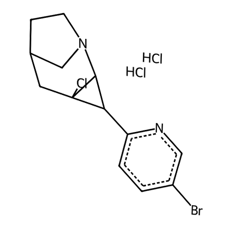 Cl.Cl.ClC12CC3CCN(C3)C1C2c1ccc(Br)cn1